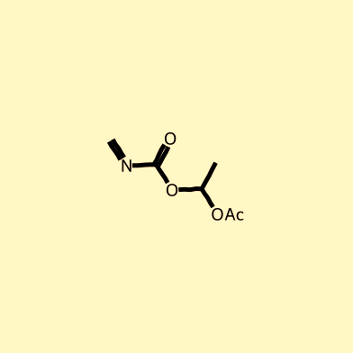 C=NC(=O)OC(C)OC(C)=O